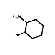 N[C@H]1CCCC[C@H]1I